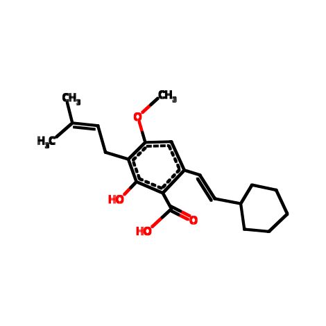 COc1cc(/C=C/C2CCCCC2)c(C(=O)O)c(O)c1CC=C(C)C